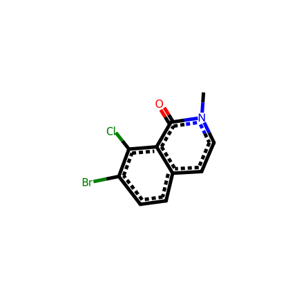 Cn1ccc2ccc(Br)c(Cl)c2c1=O